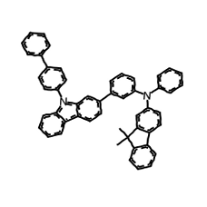 CC1(C)c2ccccc2-c2ccc(N(c3ccccc3)c3cccc(-c4ccc5c6ccccc6n(-c6ccc(-c7ccccc7)cc6)c5c4)c3)cc21